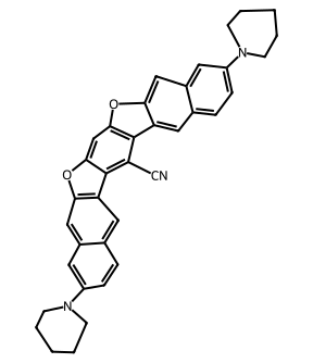 N#Cc1c2c(cc3oc4cc5cc(N6CCCCC6)ccc5cc4c13)oc1cc3cc(N4CCCCC4)ccc3cc12